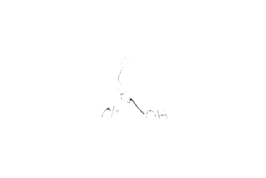 [Cl-].[OH][Ru+][Cl]